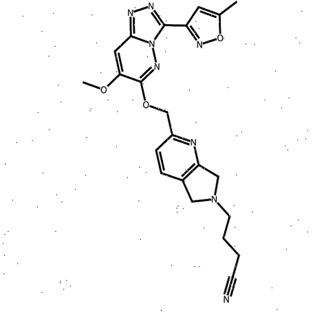 COc1cc2nnc(-c3cc(C)on3)n2nc1OCc1ccc2c(n1)CN(CCCC#N)C2